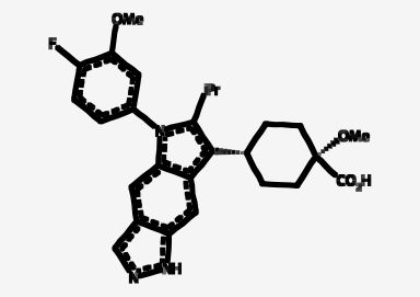 COc1cc(-n2c(C(C)C)c([C@H]3CC[C@](OC)(C(=O)O)CC3)c3cc4[nH]ncc4cc32)ccc1F